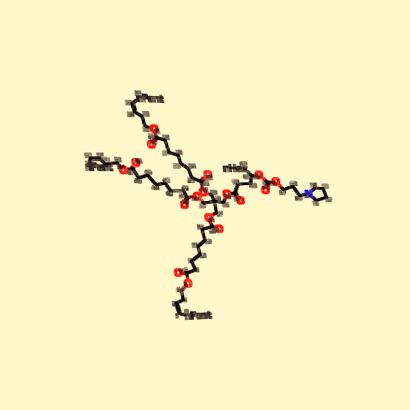 CCCCC/C=C\CCOC(=O)CCCCCCC(=O)OCC(COC(=O)CCCCCCC(=O)OCC/C=C\CCCCC)(COC(=O)CCCCCCC(=O)OCC/C=C\CCCCC)COC(=O)CCC(CCCCCC)OC(=O)OCCCN1CCCC1